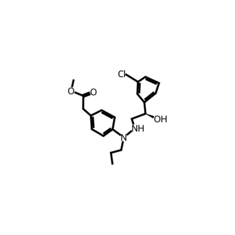 CCCN(NC[C@H](O)c1cccc(Cl)c1)c1ccc(CC(=O)OC)cc1